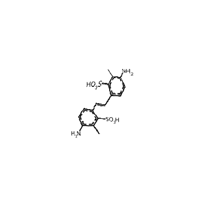 Cc1c(N)ccc(C=Cc2ccc(N)c(C)c2S(=O)(=O)O)c1S(=O)(=O)O